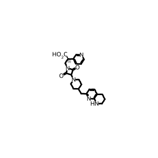 O=C(O)[C@H](CN1C(=O)C(N2CCC(Cc3ccc4c(n3)NCCC4)CC2)C1=O)c1cccnc1